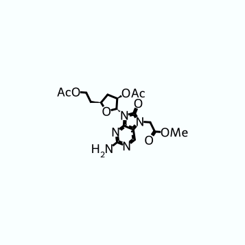 COC(=O)Cn1c(=O)n([C@@H]2O[C@@H](CCOC(C)=O)C[C@H]2OC(C)=O)c2nc(N)ncc21